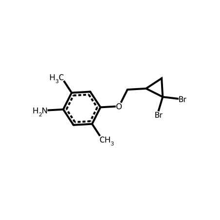 Cc1cc(OCC2CC2(Br)Br)c(C)cc1N